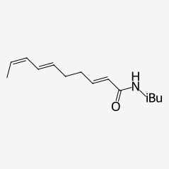 C/C=C\C=C\CC/C=C/C(=O)NC(C)CC